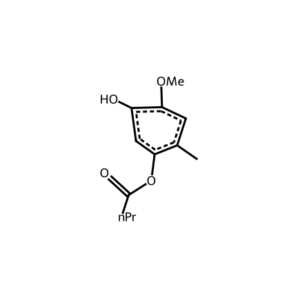 CCCC(=O)Oc1cc(O)c(OC)cc1C